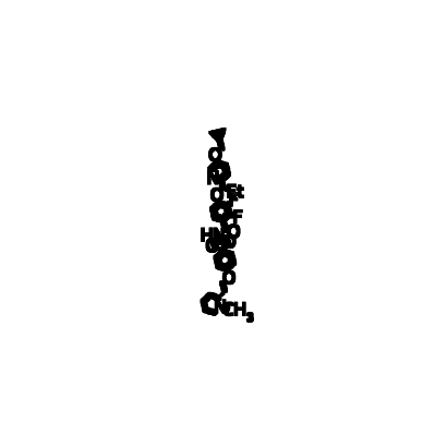 CC[C@@H](Oc1ccc(C(=O)NS(=O)(=O)c2ccc(OCC[C@H]3CCCCN3C)cc2)c(F)c1F)c1ccc(OCC2CC2)cn1